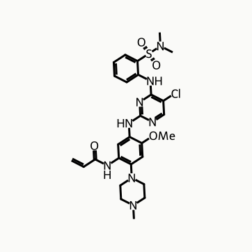 C=CC(=O)Nc1cc(Nc2ncc(Cl)c(Nc3ccccc3S(=O)(=O)N(C)C)n2)c(OC)cc1N1CCN(C)CC1